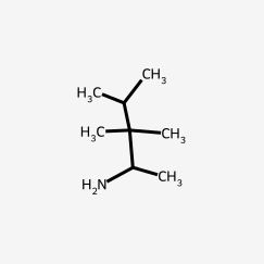 C[C](N)C(C)(C)C(C)C